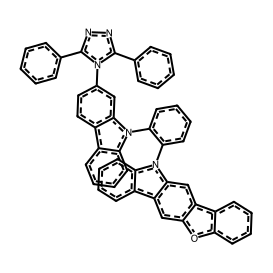 c1ccc(-c2nnc(-c3ccccc3)n2-c2ccc3c4ccccc4n(-c4ccccc4-n4c5ccccc5c5cc6oc7ccccc7c6cc54)c3c2)cc1